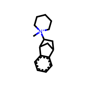 C[N+]1(C2CC3CC2c2ccccc23)CCCCC1